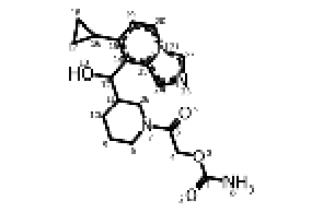 NC(=O)OCC(=O)N1CCCC(C(O)c2c(C3CC3)ccn3cncc23)C1